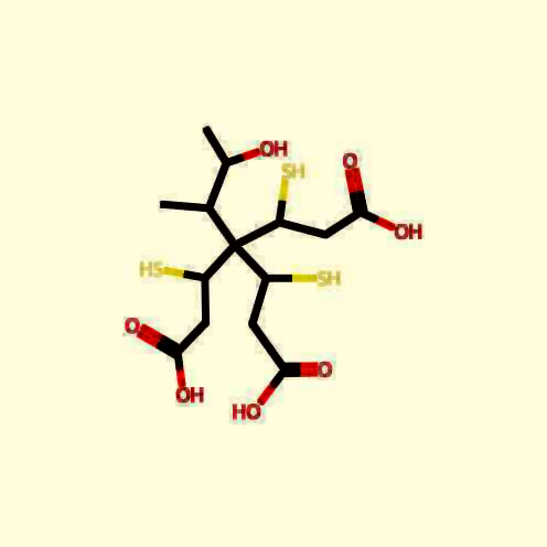 CC(O)C(C)C(C(S)CC(=O)O)(C(S)CC(=O)O)C(S)CC(=O)O